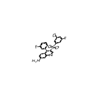 Nc1ccc2c(-c3cccc(F)c3)c(S(=O)(=O)c3cc(F)cc(Cl)c3)cnc2c1